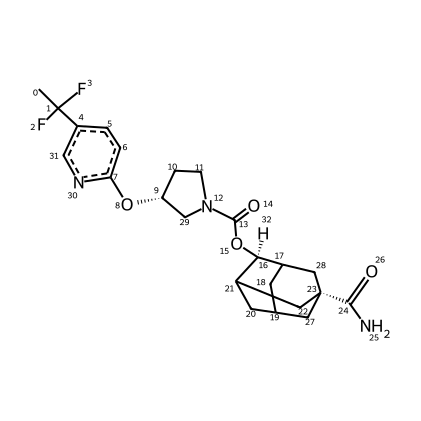 CC(F)(F)c1ccc(O[C@@H]2CCN(C(=O)O[C@H]3C4CC5CC3C[C@](C(N)=O)(C5)C4)C2)nc1